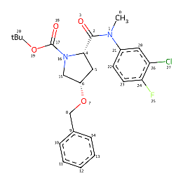 CN(C(=O)[C@@H]1C[C@H](OCc2ccccc2)CN1C(=O)OC(C)(C)C)c1ccc(F)c(Cl)c1